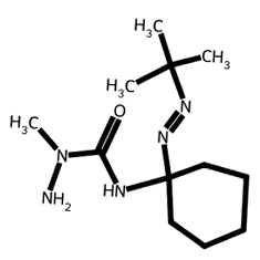 CN(N)C(=O)NC1(/N=N/C(C)(C)C)CCCCC1